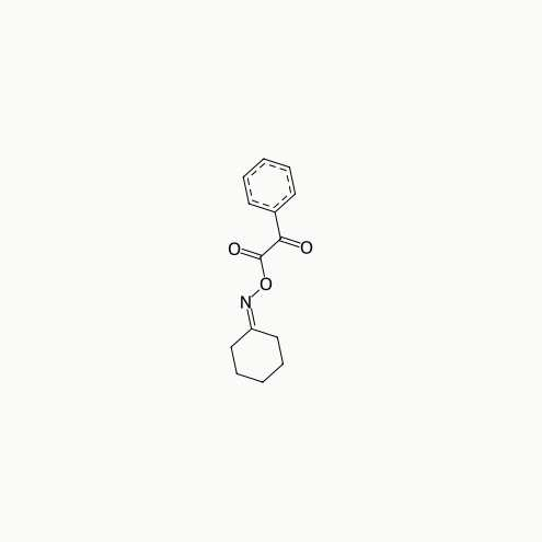 O=C(ON=C1CCCCC1)C(=O)c1ccccc1